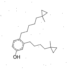 CC1(CCCCCc2ccc(O)cc2CCCCC2(C)CC2)CC1